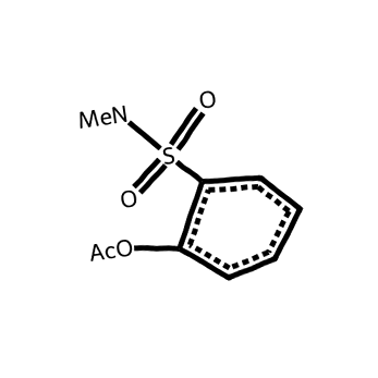 CNS(=O)(=O)c1ccccc1OC(C)=O